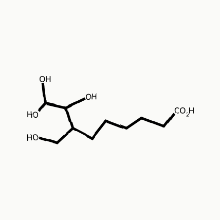 O=C(O)CCCCCC(CO)C(O)C(O)O